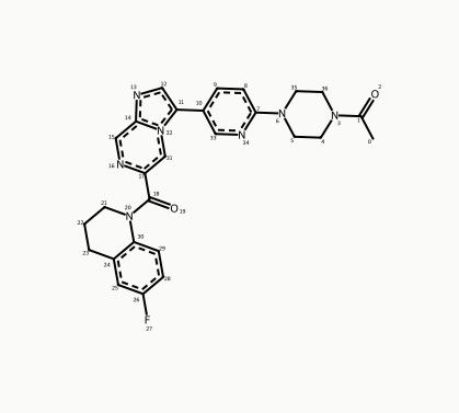 CC(=O)N1CCN(c2ccc(-c3cnc4cnc(C(=O)N5CCCc6cc(F)ccc65)cn34)cn2)CC1